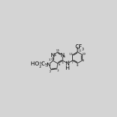 O=C(O)n1ccc2c(Nc3cccc(C(F)(F)F)c3)ncnc21